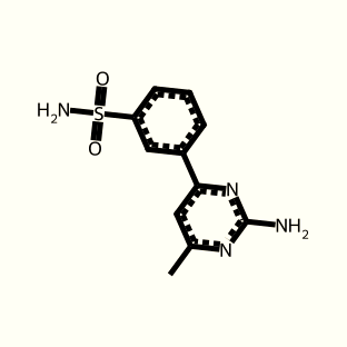 Cc1cc(-c2cccc(S(N)(=O)=O)c2)nc(N)n1